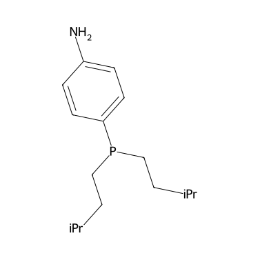 CC(C)CCP(CCC(C)C)c1ccc(N)cc1